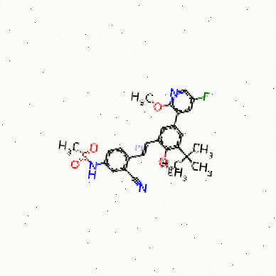 COc1ncc(F)cc1-c1cc(/C=C/c2ccc(NS(C)(=O)=O)cc2C#N)c(OC)c(C(C)(C)C)c1